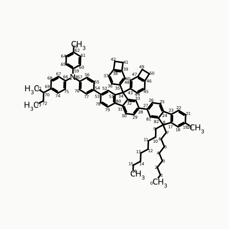 CCCCCCCCC1(CCCCCCCC)c2cc(C)ccc2-c2ccc(-c3ccc4c(c3)C(c3ccc5c(c3)CC5)(c3ccc5c(c3)CC5)c3cc(-c5ccc(N(c6ccc(C)cc6)c6ccc(C(C)CC)cc6)cc5)ccc3-4)cc21